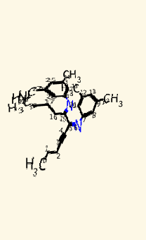 CCCC#CC(=Nc1cc(C)cc(C)c1)C(CCCC)=Nc1cc(C)cc(C)c1.[Ni]